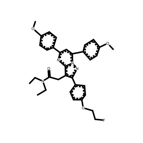 CCN(CC)C(=O)Cc1c(-c2ccc(OCCF)cc2)nn2c(-c3ccc(OC)cc3)cc(-c3ccc(OC)cc3)nc12